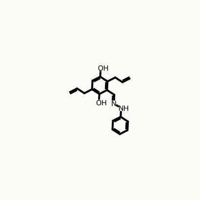 C=CCc1cc(O)c(CC=C)c(C=NNc2ccccc2)c1O